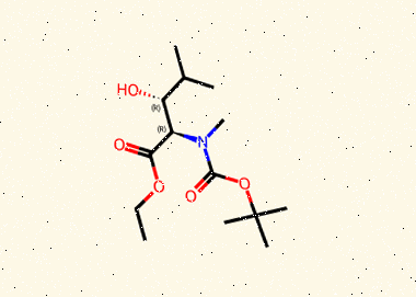 CCOC(=O)[C@@H]([C@H](O)C(C)C)N(C)C(=O)OC(C)(C)C